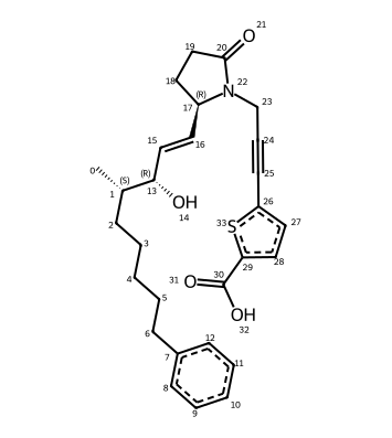 C[C@@H](CCCCCc1ccccc1)[C@@H](O)C=C[C@H]1CCC(=O)N1CC#Cc1ccc(C(=O)O)s1